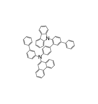 c1ccc(-c2cccc(N(c3ccc(-c4cc(-c5ccccc5)ccc4-n4c5ccccc5c5ccccc54)cc3)c3cc4ccccc4c4ccccc34)c2)cc1